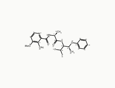 COc1ccnc(C(=O)N[C@@H](C)C(=O)OC(C(F)F)[C@H](C)Oc2ccccc2)c1OC(C)=O